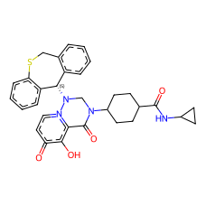 O=C(NC1CC1)C1CCC(N2CN([C@H]3c4ccccc4CSc4ccccc43)n3ccc(=O)c(O)c3C2=O)CC1